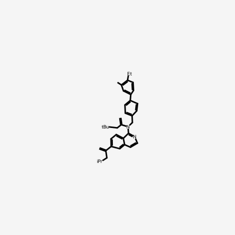 C=C(CC(C)C)c1ccc2c(N(Cc3ccc(-c4ccc(CC)c(C)c4)cc3)C(=C)CC(C)(C)C)nccc2c1